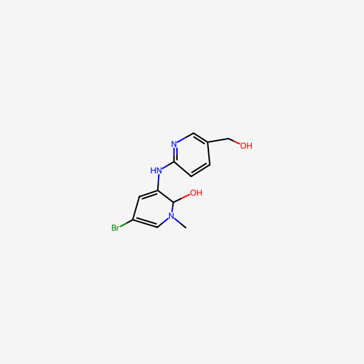 CN1C=C(Br)C=C(Nc2ccc(CO)cn2)C1O